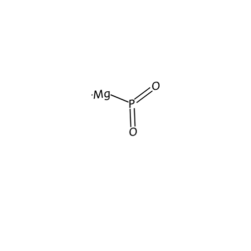 O=[P](=O)[Mg]